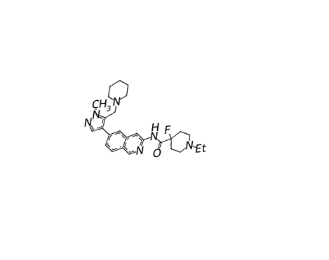 CCN1CCC(F)(C(=O)Nc2cc3cc(-c4cnn(C)c4CN4CCCCC4)ccc3cn2)CC1